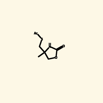 CC(=O)SCC1(C)COC(=O)N1